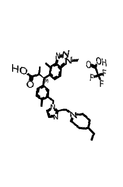 CCC1CCN(Cc2nccn2Cc2cc([C@H](c3ccc4c(nnn4C)c3C)C(C)C(=O)O)ccc2C)CC1.O=C(O)C(F)(F)F